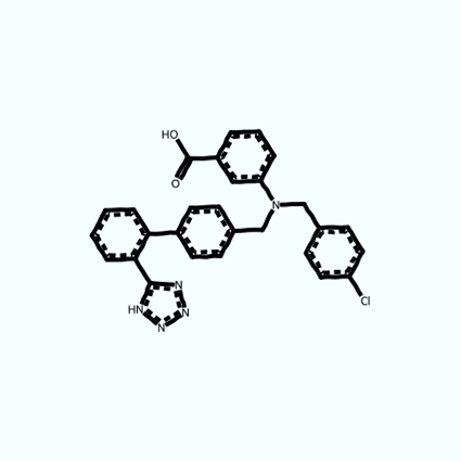 O=C(O)c1cccc(N(Cc2ccc(Cl)cc2)Cc2ccc(-c3ccccc3-c3nnn[nH]3)cc2)c1